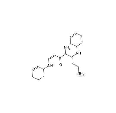 NC/C=C(\NC1C=CC=CC1)C(N)C(=O)/C=C\NC1C=CCCC1